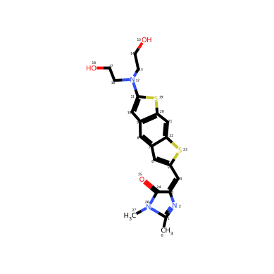 CC1=N/C(=C/c2cc3cc4cc(N(CCO)CCO)sc4cc3s2)C(=O)N1C